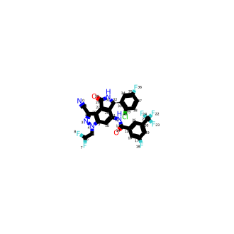 N#Cc1nn(CC(F)F)c2cc(NC(=O)c3cc(F)cc(C(F)(F)F)c3)c3c(c12)C(=O)N[C@@H]3c1cc(F)ccc1Cl